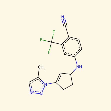 Cc1cnnn1C1=CC(Nc2ccc(C#N)c(C(F)(F)F)c2)CC1